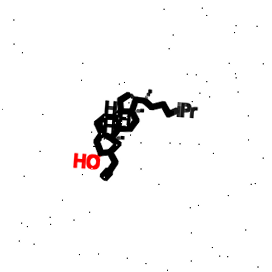 C#CCC1C[C@@]2(C)C(=CC[C@H]3[C@@H]4CC[C@H]([C@H](C)CCCC(C)C)[C@@]4(C)CC[C@@H]32)C[C@H]1O